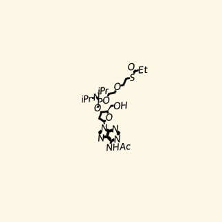 CCC(=O)SCCOCCOP(O[C@@H]1C[C@H](n2cnc3c(NC(C)=O)ncnc32)O[C@@H]1CO)N(C(C)C)C(C)C